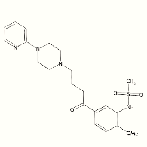 COc1ccc(C(=O)CCCN2CCN(c3ccccn3)CC2)cc1NS(C)(=O)=O